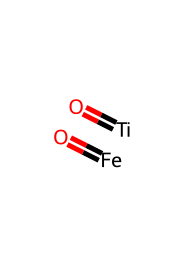 [O]=[Fe].[O]=[Ti]